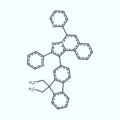 CCC1(CC)c2ccccc2-c2ccc(-c3c(-c4ccccn4)nn4c(-c5ccccn5)cc5ccccc5c34)cc21